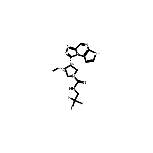 CC[C@H]1CN(C(=O)NCC(F)(F)F)C[C@H]1c1nnc2cnc3[nH]ccc3n12